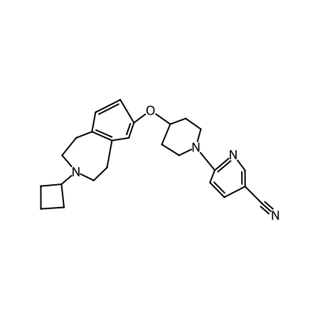 N#Cc1ccc(N2CCC(Oc3ccc4c(c3)CCN(C3CCC3)CC4)CC2)nc1